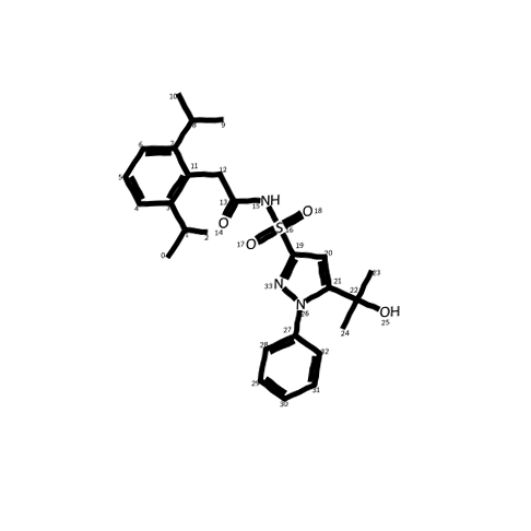 CC(C)c1cccc(C(C)C)c1CC(=O)NS(=O)(=O)c1cc(C(C)(C)O)n(-c2ccccc2)n1